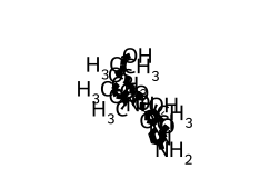 CC(C)OC(=O)[C@H](C)N[P@](=O)(OCCSC(=O)C(C)(C)CO)OC[C@H]1O[C@@H](n2ccc(N)nc2=O)[C@](C)(Cl)[C@@H]1O